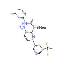 C=C/C=C(\N=C/C)NC(=C)N(CCCCCC)c1nc(-c2cncc(C(C)(F)F)c2)ccc1N